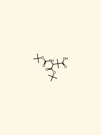 CC(C)(C)OC(=O)NC(C(=O)OC(C)(C)C)C(C)(C)C(=O)O